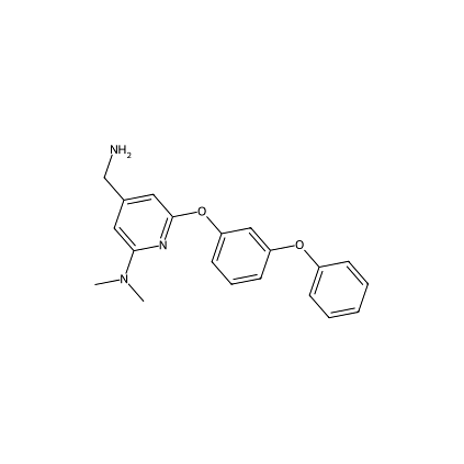 CN(C)c1cc(CN)cc(Oc2cccc(Oc3ccccc3)c2)n1